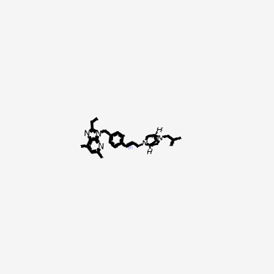 CCc1nc2c(C)cc(C)nc2n1Cc1ccc(/C=C/CN2C[C@H]3C[C@@H]2CN3CC(C)C)cc1